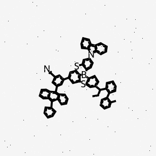 CCC(c1ccc2c(c1)Sc1cc(-c3cc(C#N)cc(-c4c5ccccc5c(-c5ccccc5)c5ccccc45)c3)cc3c1B2c1ccc(-n2c4ccccc4c4ccccc42)cc1S3)c1ccccc1-c1ccccc1C